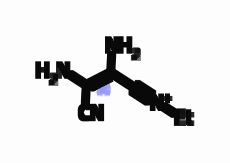 CC[N+]#C/C(N)=C(/N)C#N